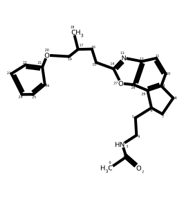 CC(=O)NCCC1CCc2ccc3nc(CCC(C)COc4ccccc4)oc3c21